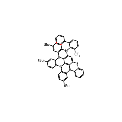 CC(C)(C)c1ccc2c(c1)B1c3cc(C(C)(C)C)ccc3N3c4ccc(C(C)(C)C)cc4B4c5ccccc5Sc5cc(c1c3c54)N2c1c(-c2ccccc2)cccc1C(F)(F)F